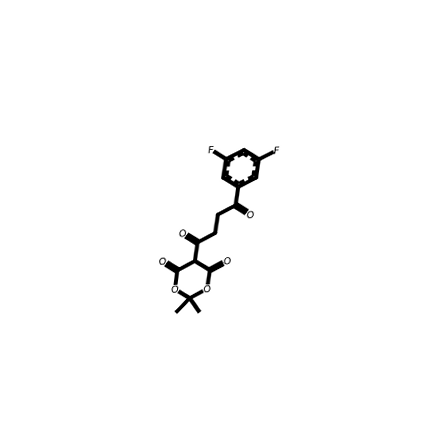 CC1(C)OC(=O)C(C(=O)CCC(=O)c2cc(F)cc(F)c2)C(=O)O1